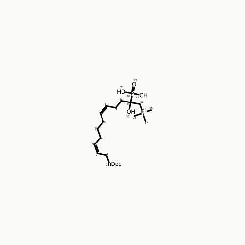 CCCCCCCCCCC/C=C\CCC/C=C\CCC(O)(C[N+](C)(C)C)P(=O)(O)O